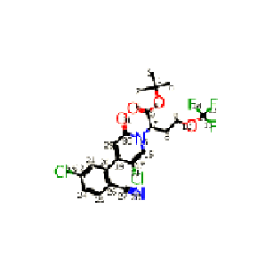 CC(C)(C)OC(=O)C(CCOC(F)(F)F)n1cc(Cl)c(-c2cc(Cl)ccc2C#N)cc1=O